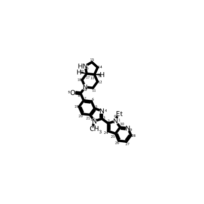 CCn1c(-c2nc3cc(C(=O)N4CC[C@H]5CCN[C@H]5C4)ccc3n2C)cc2cccnc21